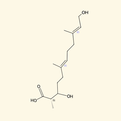 C/C(=C\CO)CC/C=C(\C)CCC(O)[C@H](C)C(=O)O